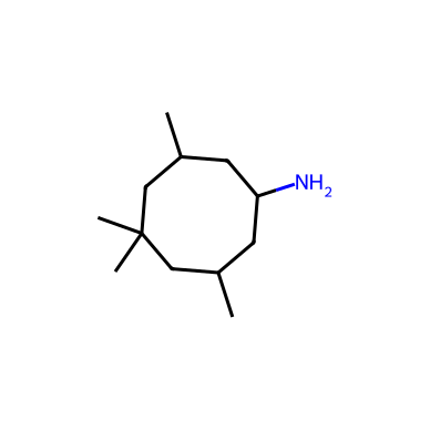 CC1CC(N)CC(C)CC(C)(C)C1